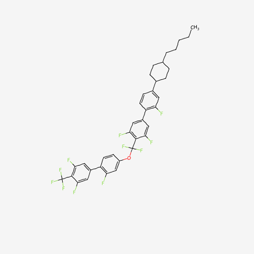 CCCCCC1CCC(c2ccc(-c3cc(F)c(C(F)(F)Oc4ccc(-c5cc(F)c(C(F)(F)F)c(F)c5)c(F)c4)c(F)c3)c(F)c2)CC1